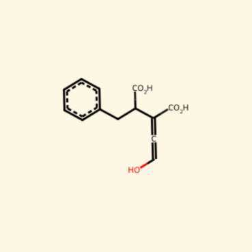 O=C(O)C(=C=CO)C(Cc1ccccc1)C(=O)O